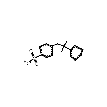 CC(C)(Cc1ccc(S(N)(=O)=O)cc1)c1ccccc1